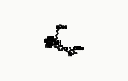 CCCCCCCCCCCCCCCC(=O)N[C@@H](Cc1ccc(OCc2ncc(C)c(OC)c2C)cc1)[C@@H](O)CP(=O)(O)O